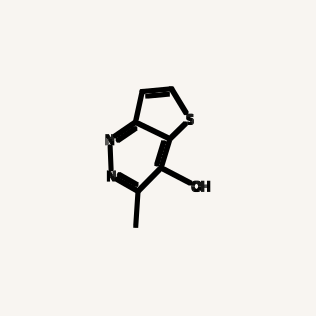 Cc1nnc2ccsc2c1O